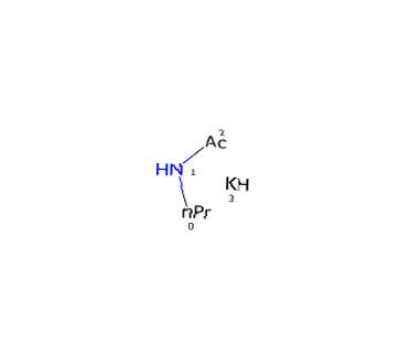 CCCNC(C)=O.[KH]